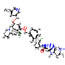 Cc1c(COc2cc(OCc3cncc(C#N)c3)c(CN3CCCCC3C(=O)O)cc2Cl)cccc1-c1cccc(NC(=O)c2nc3c(n2C)CCNC3)c1Cl